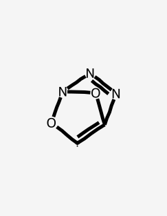 [C]1=C2N=NN(O1)O2